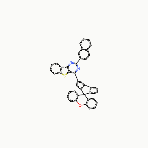 c1ccc2c(c1)Oc1ccccc1C21c2ccccc2-c2cc(-c3nc(-c4ccc5ccccc5c4)nc4c3sc3ccccc34)ccc21